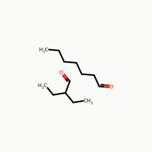 CCC(C=O)CC.CCCCCCC=O